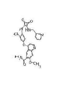 COc1cc2nccc(Oc3ccc(Nc4c(NCc5cccnc5)c(=O)c4=O)c(Cl)c3)c2cc1C(N)=O